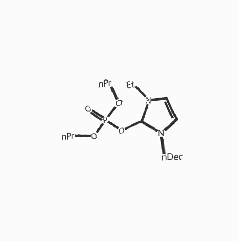 CCCCCCCCCCN1C=CN(CC)C1OP(=O)(OCCC)OCCC